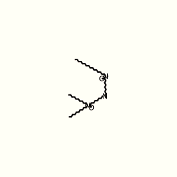 CCCCCCCCCCCCCCCCN(C)C(=O)CCCCCCCN(C)CCCCCCCC(=O)N(CCCCCCCCCC)CCCCCCCCCC